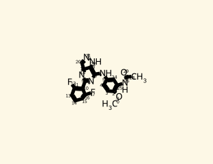 COc1ccc(Nc2nc(-c3c(F)cccc3F)nc3cn[nH]c23)cc1NC(C)=O